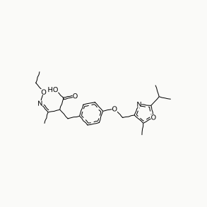 CCO/N=C(/C)C(Cc1ccc(OCc2nc(C(C)C)oc2C)cc1)C(=O)O